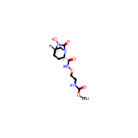 CC(C)(C)OC(=O)NCCONC(=O)[C@@H]1CC[C@H]2CN1C(=O)N2O